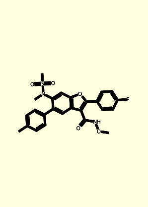 CONC(=O)c1c(-c2ccc(F)cc2)oc2cc(N(C)S(C)(=O)=O)c(-c3ccc(C)cc3)cc12